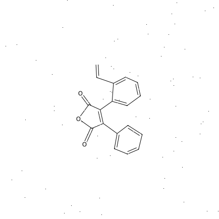 C=Cc1ccccc1C1=C(c2ccccc2)C(=O)OC1=O